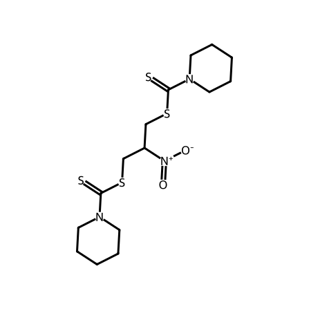 O=[N+]([O-])C(CSC(=S)N1CCCCC1)CSC(=S)N1CCCCC1